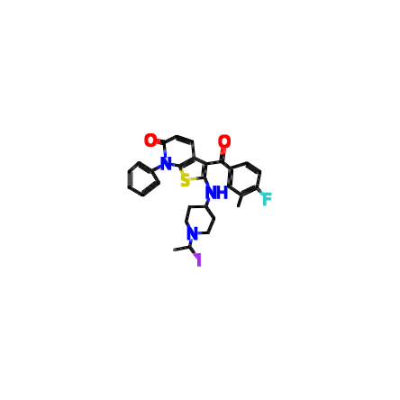 Cc1cc(C(=O)c2c(NC3CCN(C(C)I)CC3)sc3c2ccc(=O)n3-c2ccccc2)ccc1F